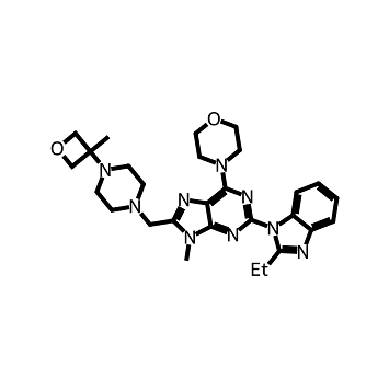 CCc1nc2ccccc2n1-c1nc(N2CCOCC2)c2nc(CN3CCN(C4(C)COC4)CC3)n(C)c2n1